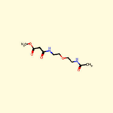 COC(=O)CC(=O)NCCOCCNC(C)=O